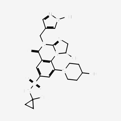 C[C@@H]1CN=C2N(Cc3cnn(C)c3)C(=O)c3cc(S(=O)(=O)NC4(C)CC4)cc(N4CCC(O)CC4)c3N21